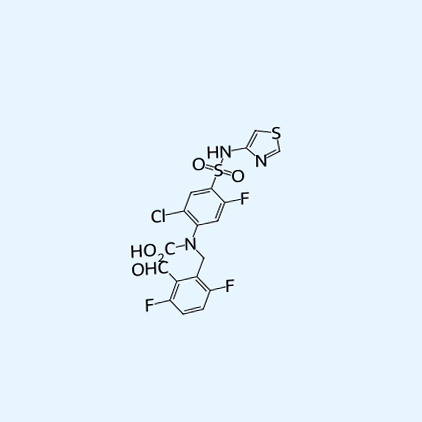 O=Cc1c(F)ccc(F)c1CN(C(=O)O)c1cc(F)c(S(=O)(=O)Nc2cscn2)cc1Cl